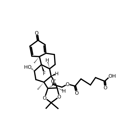 CC1(C)O[C@@H]2C[C@H]3[C@@H]4CCC5=CC(=O)C=C[C@]5(C)[C@@]4(F)[C@@H](O)C[C@]3(C)[C@]2(C(=O)COC(=O)CCCC(=O)O)O1